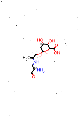 C=C(COC1C[C@@H](O)C(O)C(C(=O)O)O1)NC[C@H](N)C=O